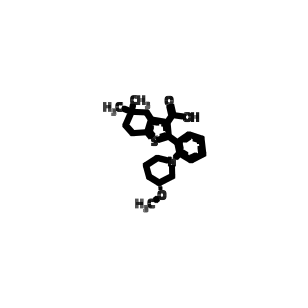 CO[C@@H]1CCCN(c2ccccc2-c2sc3c(c2C(=O)O)CC(C)(C)CC3)C1